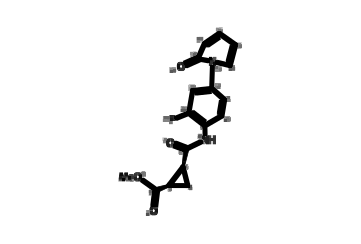 COC(=O)[C@@H]1C[C@@H]1C(=O)Nc1ccc(-n2ccccc2=O)cc1F